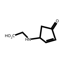 O=C(O)CNC1C=CC(=O)C1